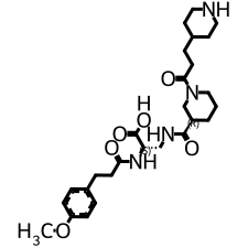 COc1ccc(CCC(=O)N[C@@H](CNC(=O)[C@@H]2CCCN(C(=O)CCC3CCNCC3)C2)C(=O)O)cc1